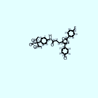 CCC(CC)(c1ccc(NC(=O)CCc2oc(-c3ccc(F)cc3)nc2-c2ccc(Cl)cc2)cc1)P(=O)(O)O